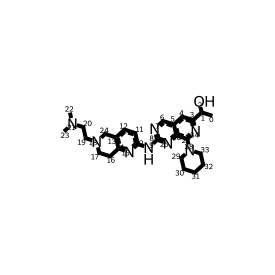 CC(O)c1cc2cnc(Nc3ccc4c(n3)CCN(CCN(C)C)C4)nc2c(N2CCCCC2)n1